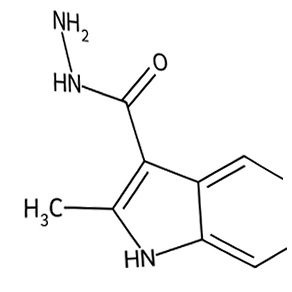 Cc1[nH]c2ccccc2c1C(=O)NN